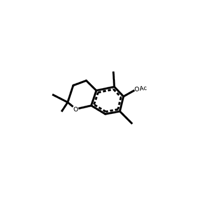 CC(=O)Oc1c(C)cc2c(c1C)CCC(C)(C)O2